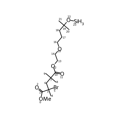 COC(=O)C(C)(Br)CC(C)(C)C(=O)OCCOCCCC(C)(C)O[SiH3]